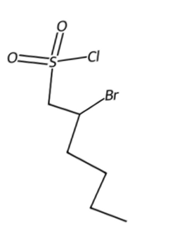 CCCCC(Br)CS(=O)(=O)Cl